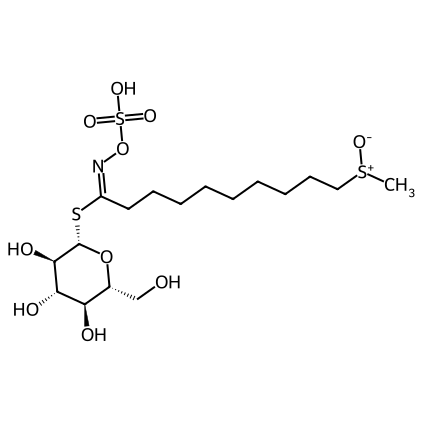 C[S+]([O-])CCCCCCCCC/C(=N\OS(=O)(=O)O)S[C@@H]1O[C@H](CO)[C@@H](O)[C@H](O)[C@H]1O